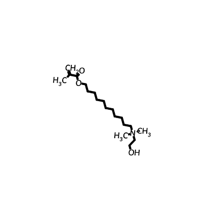 C=C(C)C(=O)OCCCCCCCCCCC[N+](C)(C)CCO